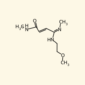 C/N=C(\C=C\C(=O)NC)NCCOC